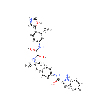 COc1cc(NC(=O)C(=O)NC(C)(C)Cc2ccc(NC(=O)c3cc4ccccc4[nH]3)cc2)ccc1-c1cnco1